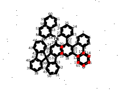 c1ccc(-c2ccccc2-c2c(-c3ccccc3)cccc2-c2ccccc2N(c2ccc3c(c2)C2(c4ccccc4-c4ccccc42)c2ccccc2-3)c2cccc3ccccc23)cc1